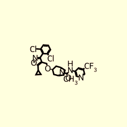 C[C@@H]1CC2C[C@H](OCc3c(-c4c(Cl)cccc4Cl)noc3C3CC3)CC1N2C(=O)Nc1cncc(C(F)(F)F)c1